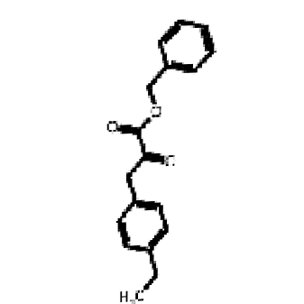 CCc1ccc(CC(=O)C(=O)OCc2ccccc2)cc1